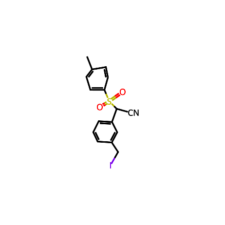 Cc1ccc(S(=O)(=O)C(C#N)c2cccc(CI)c2)cc1